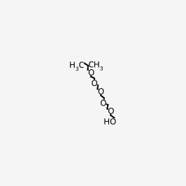 CCC(C)COCCOCCOCCOCCOCCO